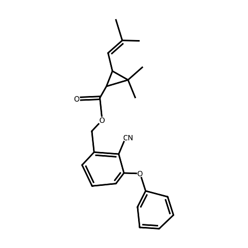 CC(C)=CC1C(C(=O)OCc2cccc(Oc3ccccc3)c2C#N)C1(C)C